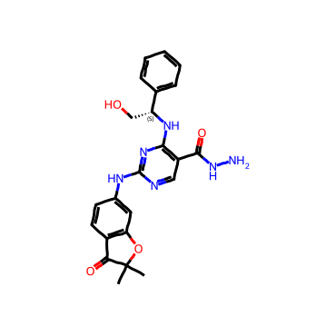 CC1(C)Oc2cc(Nc3ncc(C(=O)NN)c(N[C@H](CO)c4ccccc4)n3)ccc2C1=O